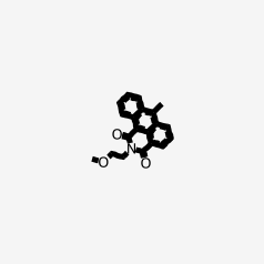 COCCN1C(=O)c2cccc3c(C)c4ccccc4c(c23)C1=O